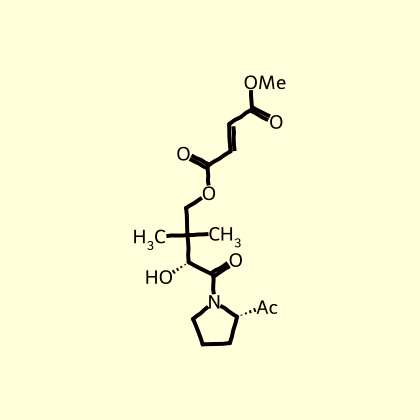 COC(=O)/C=C/C(=O)OCC(C)(C)[C@@H](O)C(=O)N1CCC[C@H]1C(C)=O